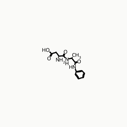 C[C@H](NC(=O)[C@@H](N)CC(=O)O)C(=O)Nc1ccccc1